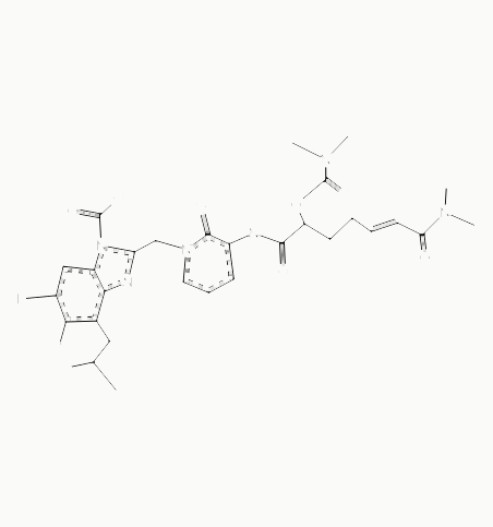 CC(C)Cc1c(F)c(F)cc2c1nc(Cn1cccc(NC(=O)C(CCC=CC(=O)N(C)C)OC(=O)N(C)C)c1=O)n2C(=O)O